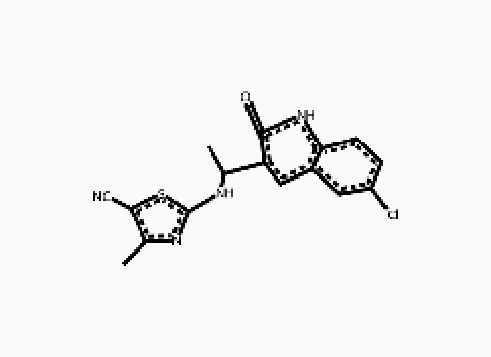 Cc1nc(NC(C)c2cc3cc(Cl)ccc3[nH]c2=O)sc1C#N